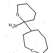 [SiH3]C1(C2CCCCCCC2)CCCCO1